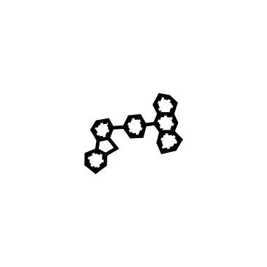 c1ccc2c(c1)Cc1c(-c3ccc(-c4c5ccccc5cc5ccccc45)cc3)cccc1-2